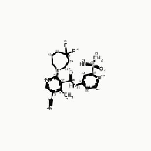 Cc1c(C#N)cnc(N2CCCC(F)(F)CC2)c1C(=O)Nc1ccnc([S@](C)(=N)=O)c1